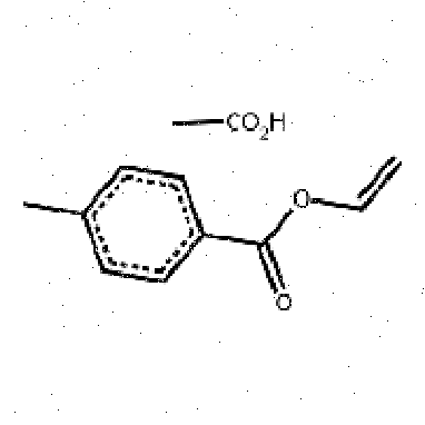 C=COC(=O)c1ccc(C)cc1.CC(=O)O